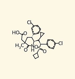 C[C@@]1(CC(=O)O)C[C@H](c2cccc(Cl)c2)[C@@H](C(C2CC2)[C@@H](c2ccc(Cl)cc2)S(=O)(=O)C2CCC2)NC1=O